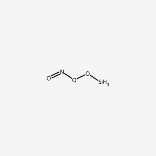 O=NOO[SiH3]